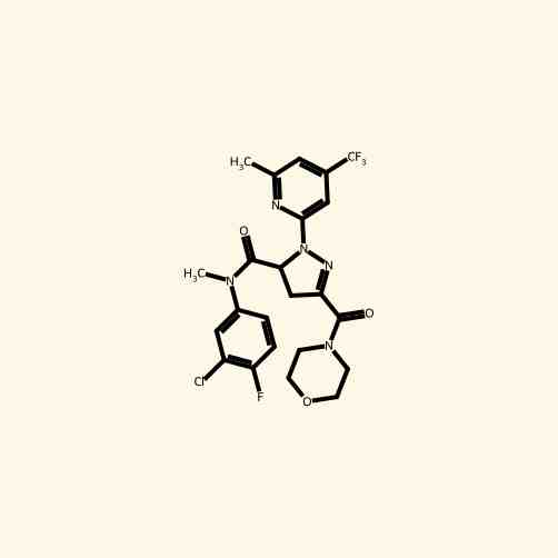 Cc1cc(C(F)(F)F)cc(N2N=C(C(=O)N3CCOCC3)CC2C(=O)N(C)c2ccc(F)c(Cl)c2)n1